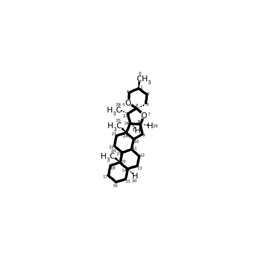 C[C@H]1CC[C@]2(OC1)O[C@H]1CC3C4CC[C@H]5CCCC[C@]5(C)C4CC[C@]3(C)[C@H]1[C@@H]2C